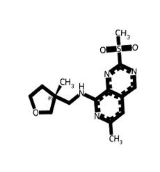 Cc1cc2cnc(S(C)(=O)=O)nc2c(NC[C@@]2(C)CCOC2)n1